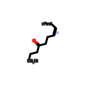 CCCCC/C=C\CCC(=O)CCC(=O)OCC